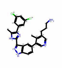 Cc1[nH]c(-c2n[nH]c3ccc(-c4cncc(CCCN)c4C)cc23)nc1-c1cc(Cl)cc(Cl)c1